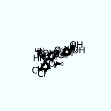 CCCOC1CC(Cl)C(Cl)CC1C(N[S](O)C(C)(C)C)C1CCN(C(=O)Oc2ccc(N(O)O)cc2)CC1